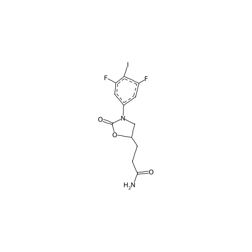 NC(=O)CCC1CN(c2cc(F)c(I)c(F)c2)C(=O)O1